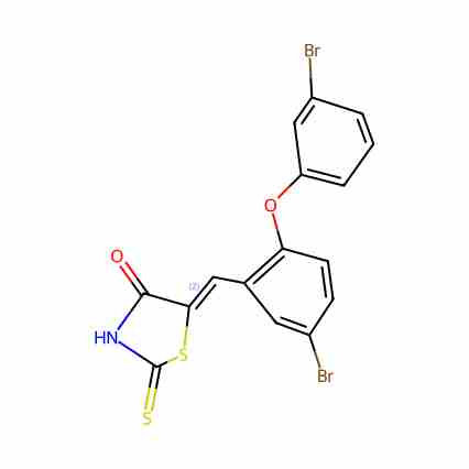 O=C1NC(=S)S/C1=C\c1cc(Br)ccc1Oc1cccc(Br)c1